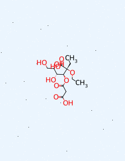 CCO[C@@](CC)(C(=O)O)[C@@H](OC(=O)CC(=O)O)[C@H](O)[C@H](O)CO